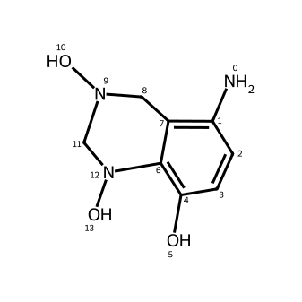 Nc1ccc(O)c2c1CN(O)CN2O